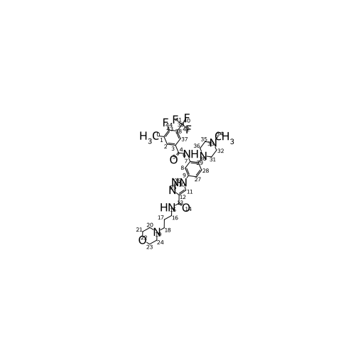 Cc1cc(C(=O)Nc2cc(-n3cc(C(=O)NCCCN4CCOCC4)nn3)ccc2N2CCN(C)CC2)cc(C(F)(F)F)c1F